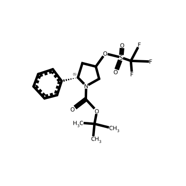 CC(C)(C)OC(=O)N1CC(OS(=O)(=O)C(F)(F)F)C[C@H]1c1ccccc1